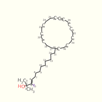 CC(C)(O)C(I)=CCCCCCCCCCC1CCCCCCCCCCCCCCCCCCCCC1